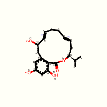 CC(C)[C@@H]1C/C=C/CC/C=C/C(O)Cc2cc(O)cc(O)c2C(=O)O1